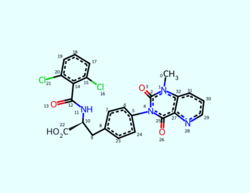 Cn1c(=O)n(-c2ccc(C[C@H](NC(=O)c3c(Cl)cccc3Cl)C(=O)O)cc2)c(=O)c2ncccc21